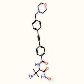 CC(C)(N)C(NC(=O)c1ccc(C#Cc2ccc(CN3CCOCC3)cc2)cc1)C(=O)NO